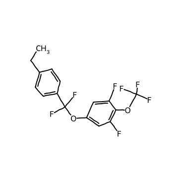 CCc1ccc(C(F)(F)Oc2cc(F)c(OC(F)(F)F)c(F)c2)cc1